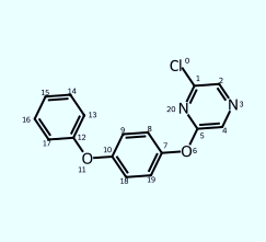 Clc1cncc(Oc2ccc(Oc3ccccc3)cc2)n1